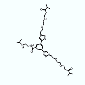 CC(C)NCCNC(=O)c1cc(-c2cn(CCOCCOCCC(=O)C(C)C)nn2)cc(-c2cn(CCOCCOCCC(=O)C(C)C)nn2)c1